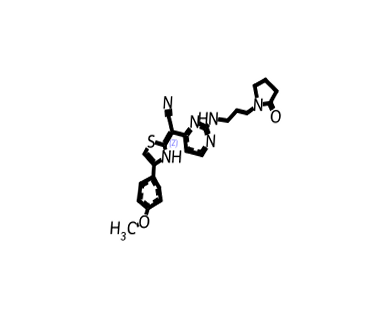 COc1ccc(C2=CS/C(=C(\C#N)c3ccnc(NCCCN4CCCC4=O)n3)N2)cc1